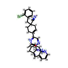 Cc1nc(C2=CCC(C#N)(Cc3ccccc3Br)CC2)cnc1C(=N)/C1=C\c2cccnc2CCCC1